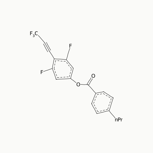 CCCc1ccc(C(=O)Oc2cc(F)c(C#CC(F)(F)F)c(F)c2)cc1